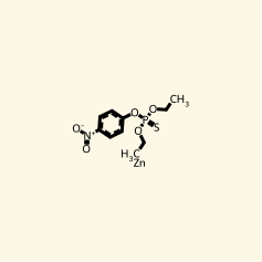 CCOP(=S)(OCC)Oc1ccc([N+](=O)[O-])cc1.[Zn]